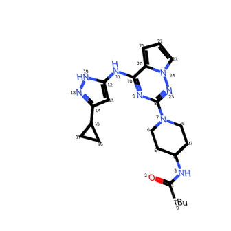 CC(C)(C)C(=O)NC1CCN(c2nc(Nc3cc(C4CC4)n[nH]3)c3cccn3n2)CC1